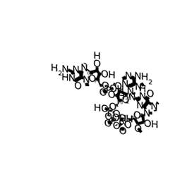 C=Nc1c(N)ncnc1N(C)[C@@H]1O[C@H](COP(=O)(O)OP(=O)(O)OP(=O)(O)OC[C@H]2O[C@@H](N(C)c3nc(N)[nH]c(=O)c3N(C)C)C(O)C2OC)C(OP(=O)(O)OC[C@H]2O[C@@H](N(C)c3nc(N)[nH]c(=O)c3N=C)C(O)C2O)C1OC